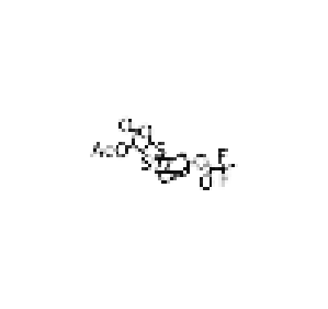 CC(=O)OC1C(=O)OC2SC3(SC21)C1CC2CC3CC(OC(=O)C(C)(F)F)(C2)C1